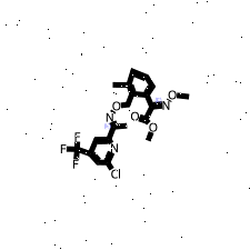 CO/N=C(/C(=O)OC)c1cccc(C)c1CO/N=C(\C)c1cc(C(F)(F)F)cc(Cl)n1